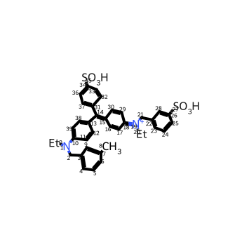 CCN(Cc1cccc(C)c1)c1ccc(C(=C2C=CC(=[N+](CC)Cc3cccc(S(=O)(=O)O)c3)C=C2)c2ccc(S(=O)(=O)O)cc2)cc1